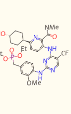 CCOP(=O)(Cc1ccc(Nc2ncc(C(F)(F)F)c(Nc3ccc([C@H]4CC[C@H](O)CC4)nc3C(=O)NC)n2)c(OC)c1)OCC